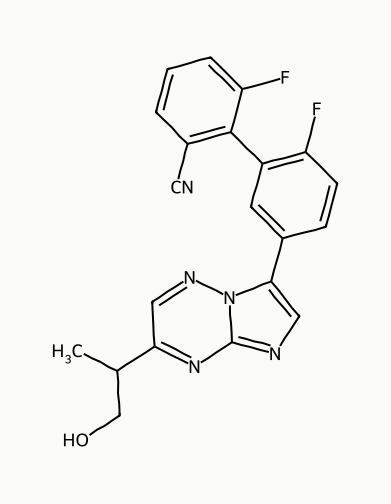 CC(CO)c1cnn2c(-c3ccc(F)c(-c4c(F)cccc4C#N)c3)cnc2n1